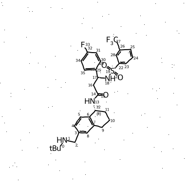 CC(C)(C)NCc1ccc2c(c1)CCC[C@H]2NC(=O)CC(NS(=O)(=O)c1cccc(C(F)(F)F)c1)c1ccc(F)cc1